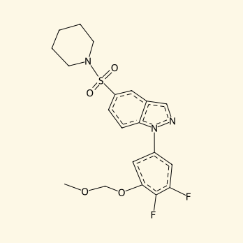 COCOc1cc(-n2ncc3cc(S(=O)(=O)N4CCCCC4)ccc32)cc(F)c1F